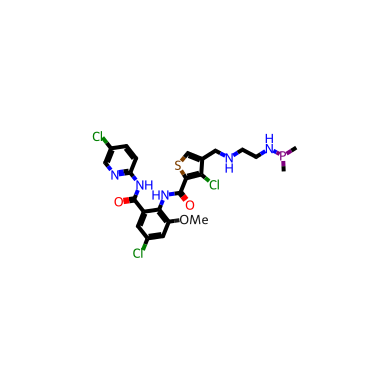 COc1cc(Cl)cc(C(=O)Nc2ccc(Cl)cn2)c1NC(=O)c1scc(CNCCNP(C)C)c1Cl